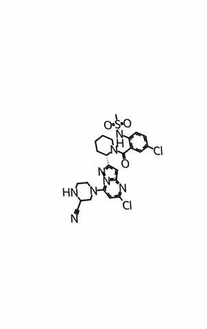 CS(=O)(=O)Nc1ccc(Cl)cc1C(=O)N1CCCC[C@H]1c1cc2nc(Cl)cc(N3CCNC(C#N)C3)n2n1